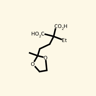 CCC(CCC1(C)OCCO1)(C(=O)O)C(=O)O